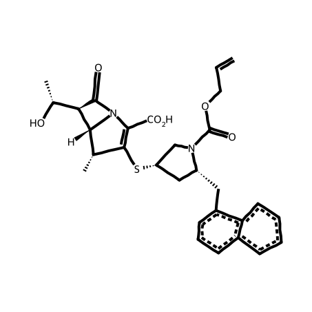 C=CCOC(=O)N1C[C@@H](SC2=C(C(=O)O)N3C(=O)[C@H]([C@@H](C)O)[C@H]3[C@H]2C)C[C@H]1Cc1cccc2ccccc12